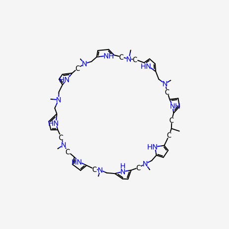 CC1Cc2ccc([nH]2)CN(C)Cc2ccc([nH]2)CN(C)Cc2ccc([nH]2)CN(C)Cc2ccc([nH]2)CN(C)Cc2ccc([nH]2)CN(C)Cc2ccc([nH]2)CN(C)Cc2ccc([nH]2)CN(C)Cc2ccc([nH]2)C1